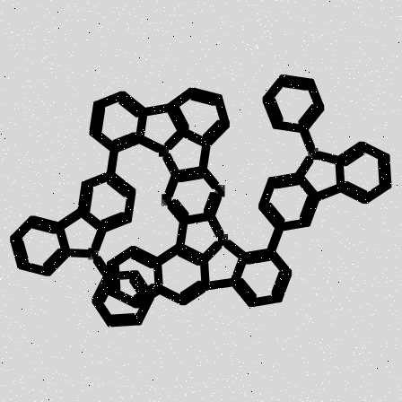 c1ccc(-n2c3ccccc3c3cc(-c4cccc5c6cccc7c8nc9c(nc8n(c45)c67)c4c5ccccc5cc5c6cccc(-c7ccc8c(c7)c7ccccc7n8-c7ccccc7)c6n9c54)ccc32)cc1